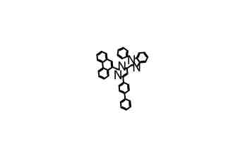 c1ccc(-c2ccc(-c3cc(-c4nc5ccccc5n4-c4ccccc4)nc(-c4cc5ccccc5c5ccccc45)n3)cc2)cc1